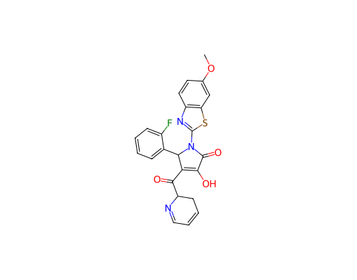 COc1ccc2nc(N3C(=O)C(O)=C(C(=O)C4CC=CC=N4)C3c3ccccc3F)sc2c1